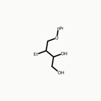 [CH2]CCOCC(CC)C(O)CO